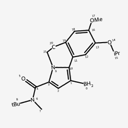 Bc1cc(C(=O)N(C)C(C)(C)C)n2c1-c1cc(OC(C)C)c(OC)cc1CC2